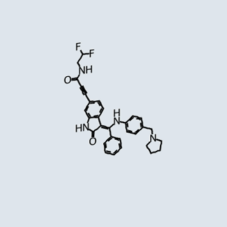 O=C(C#Cc1ccc2c(c1)NC(=O)C2=C(Nc1ccc(CN2CCCC2)cc1)c1ccccc1)NCC(F)F